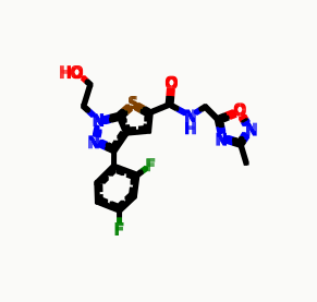 Cc1noc(CNC(=O)c2cc3c(-c4ccc(F)cc4F)nn(CCO)c3s2)n1